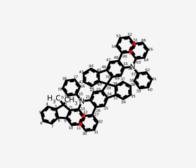 CC1(C)c2ccccc2-c2cccc(N(c3ccccc3)c3cc4c(cc3-c3ccccc3)-c3ccccc3C43c4ccccc4-c4cc(-c5ccccc5)c(N(c5ccccc5)c5ccccc5)cc43)c21